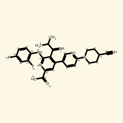 CC(C)C(=N)c1c(-c2ccc(N3CCC(C#N)CC3)nc2)cc(C(=O)O)nc1Nc1ccc(F)cc1F